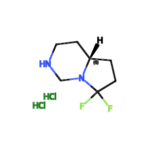 Cl.Cl.FC1(F)CC[C@H]2CCNCN21